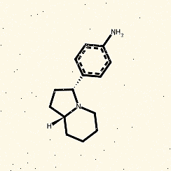 Nc1ccc([C@H]2CC[C@H]3CCCCN32)cc1